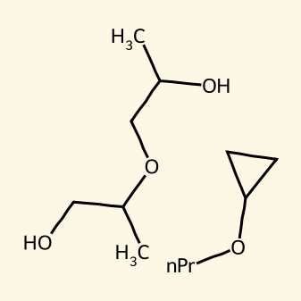 CC(O)COC(C)CO.CCCOC1CC1